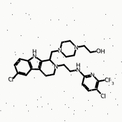 OCCN1CCN(CC2c3[nH]c4ccc(Cl)cc4c3CCN2CCNc2ccc(Cl)c(C(F)(F)F)n2)CC1